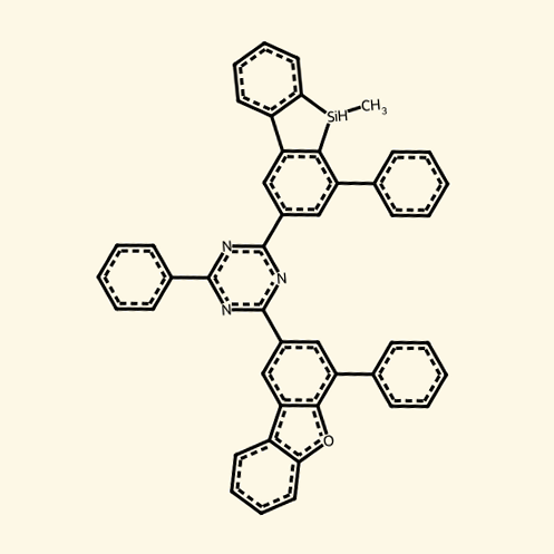 C[SiH]1c2ccccc2-c2cc(-c3nc(-c4ccccc4)nc(-c4cc(-c5ccccc5)c5oc6ccccc6c5c4)n3)cc(-c3ccccc3)c21